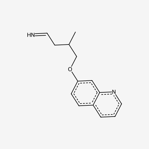 CC(CC=N)COc1ccc2cccnc2c1